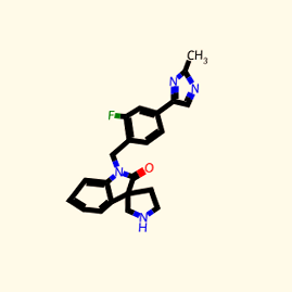 CC1N=CC(c2ccc(CN3C(=O)C4(CCNC4)c4ccccc43)c(F)c2)=N1